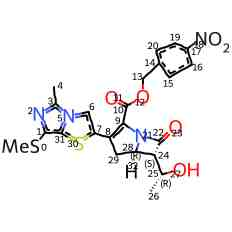 CSc1nc(C)n2cc(C3=C(C(=O)OCc4ccc([N+](=O)[O-])cc4)N4C(=O)[C@H]([C@@H](C)O)[C@H]4C3)sc12